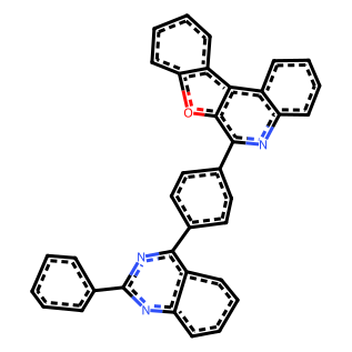 c1ccc(-c2nc(-c3ccc(-c4nc5ccccc5c5c4oc4ccccc45)cc3)c3ccccc3n2)cc1